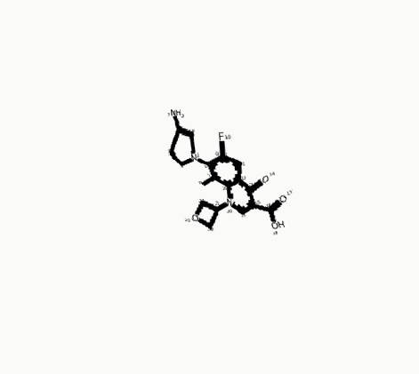 Cc1c(N2CCC(N)C2)c(F)cc2c(=O)c(C(=O)O)cn(C3COC3)c12